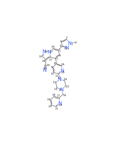 Cn1ccc(-c2cc(-c3ccc(N4CCN(Cc5ccccn5)CC4)nc3)c3c(C#N)cnn3c2)n1